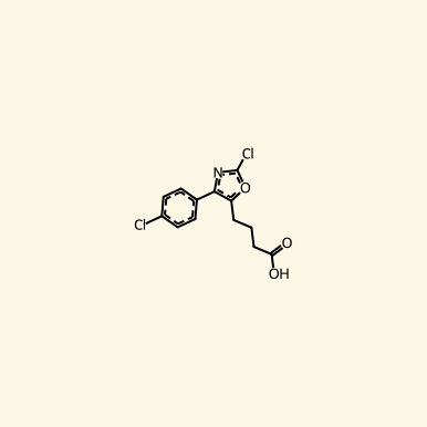 O=C(O)CCCc1oc(Cl)nc1-c1ccc(Cl)cc1